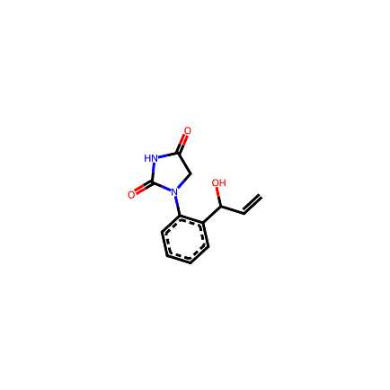 C=CC(O)c1ccccc1N1CC(=O)NC1=O